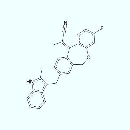 C/C(C#N)=C1\c2ccc(Cc3c(C)[nH]c4ccccc34)cc2COc2cc(F)ccc21